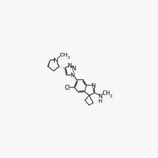 CNC1=Nc2cc(-n3cc([C@@H]4CCCN4C)nn3)c(Cl)cc2C12CCC2